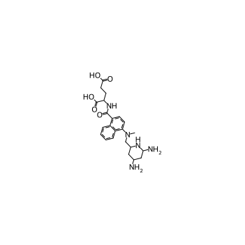 CN(CC1CC(N)CC(N)N1)c1ccc(C(=O)NC(CCC(=O)O)C(=O)O)c2ccccc12